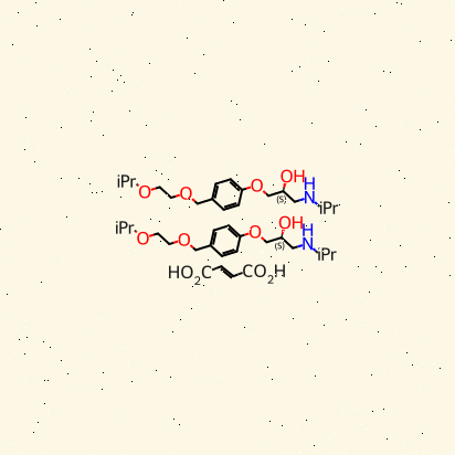 CC(C)NC[C@H](O)COc1ccc(COCCOC(C)C)cc1.CC(C)NC[C@H](O)COc1ccc(COCCOC(C)C)cc1.O=C(O)C=CC(=O)O